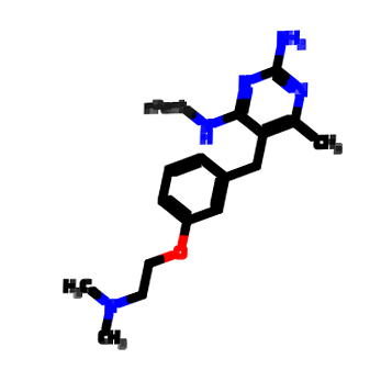 CCCCCNc1nc(N)nc(C)c1Cc1cccc(OCCN(C)C)c1